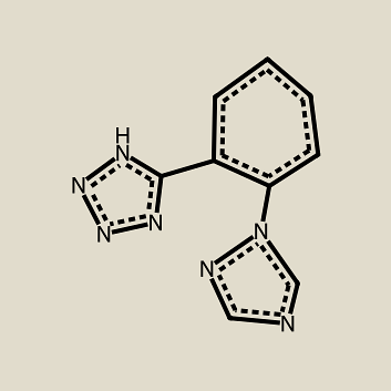 c1ccc(-n2cncn2)c(-c2nnn[nH]2)c1